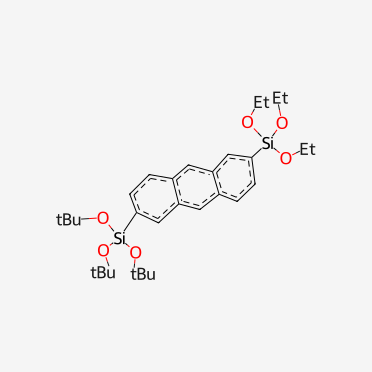 CCO[Si](OCC)(OCC)c1ccc2cc3cc([Si](OC(C)(C)C)(OC(C)(C)C)OC(C)(C)C)ccc3cc2c1